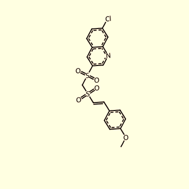 COc1ccc(C=CS(=O)(=O)CS(=O)(=O)c2cnc3cc(Cl)ccc3c2)cc1